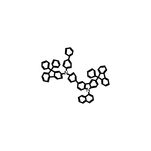 c1ccc(-c2ccc(N(c3ccc(-c4ccc5c(c4)c4cc(C6(c7ccccc7)c7ccccc7-c7ccccc76)ccc4n5-c4cccc5ccccc45)cc3)c3ccc4c(c3)C(c3ccccc3)(c3ccccc3)c3ccccc3-4)cc2)cc1